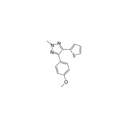 COc1ccc(-c2nn(C)nc2-c2cccs2)cc1